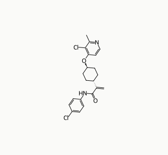 C=C(C(=O)Nc1ccc(Cl)cc1)[C@H]1CC[C@H](Oc2ccnc(C)c2Cl)CC1